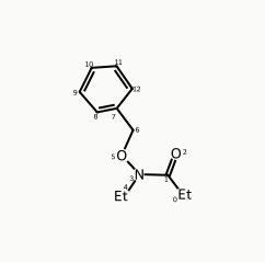 CCC(=O)N(CC)OCc1ccccc1